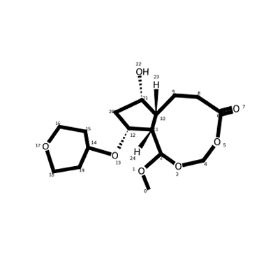 COC1OCOC(=O)CC[C@@H]2[C@H]1[C@H](OC1CCOCC1)C[C@@H]2O